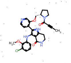 CC#CC(=O)N1CCC[C@H]1COc1cnccc1-c1[nH]c2c(c1Nc1cccc(Cl)c1OC)C(=O)NCC2